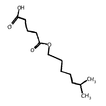 CC(C)CCCCCOC(=O)CCCC(=O)O